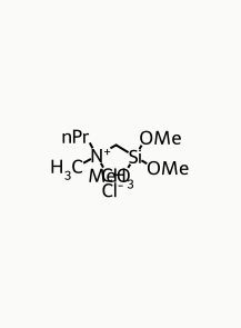 CCC[N+](C)(C)C[Si](OC)(OC)OC.[Cl-]